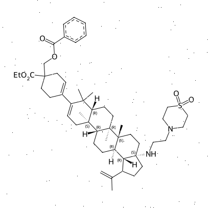 C=C(C)C1CC[C@]2(NCCN3CCS(=O)(=O)CC3)CC[C@]3(C)[C@H](CC[C@@H]4[C@@]5(C)CC=C(C6=CCC(COC(=O)c7ccccc7)(C(=O)OCC)CC6)C(C)(C)[C@@H]5CC[C@]43C)[C@@H]12